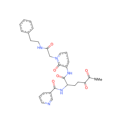 CNC(=O)C(=O)CCC(NC(=O)c1cccnc1)C(=O)Nc1cccn(CC(=O)NCCc2ccccc2)c1=O